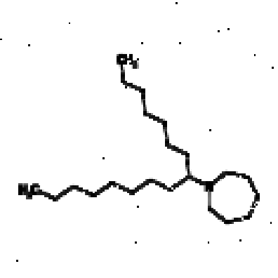 CCCCCCCCC(CCCCCCC)N1CCCCCC1